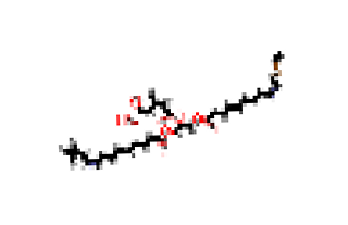 CCSC/C=C\CCCCCCCC(=O)OCC(COC(=O)CCCCCCC/C=C\CC(C)(C)C)OC(=O)CC(C)CC(=O)O